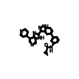 O=C(Nc1cccc(-c2ccc3[nH]nc(-c4nc5c(-c6ccncc6)cncc5[nH]4)c3c2)c1)C1CC1